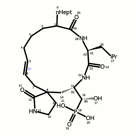 CCCCCCCC1CCC/C=C/CC2(CCNC2=O)C[C@@H]([C@H](O)P(=O)(O)O)NC(=O)[C@H](CC(C)C)NC1=O